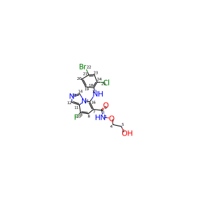 O=C(NOCCO)c1cc(F)c2cncn2c1Nc1ccc(Br)cc1Cl